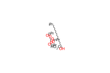 CC(C)CCCCCCCCCCCCCCCC(C)(O)C(=O)O.CCCC(=O)OCC(COC(=O)CCC)OC(=O)CCC